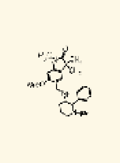 COc1cc2c(cc1CNC1CCCN(C(C)C)C1c1ccccc1)C(C)(C)C(=O)N2C